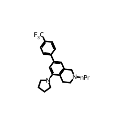 CCCN1CCc2c(cc(-c3ccc(C(F)(F)F)cc3)cc2N2CCCC2)C1